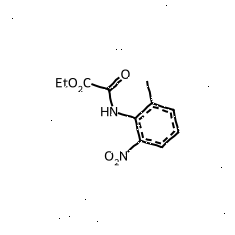 CCOC(=O)C(=O)Nc1c(C)cccc1[N+](=O)[O-]